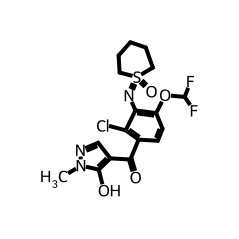 Cn1ncc(C(=O)c2ccc(OC(F)F)c(N=S3(=O)CCCCC3)c2Cl)c1O